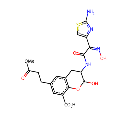 COC(=O)CCc1cc2c(c(C(=O)O)c1)OB(O)C(NC(=O)C(=NO)c1csc(N)n1)C2